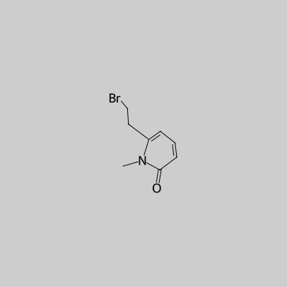 Cn1c(CCBr)cccc1=O